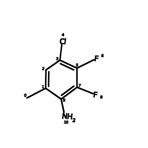 Cc1cc(Cl)c(F)c(F)c1N